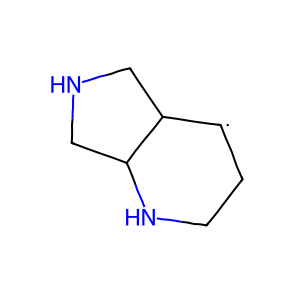 [CH]1CCNC2CNCC12